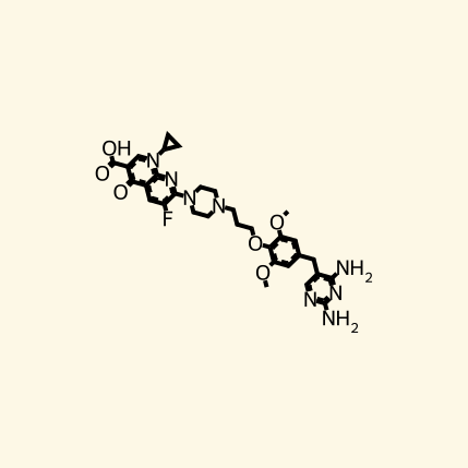 COc1cc(Cc2cnc(N)nc2N)cc(OC)c1OCCCN1CCN(c2nc3c(cc2F)c(=O)c(C(=O)O)cn3C2CC2)CC1